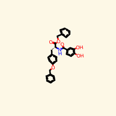 O=C(N[C@H](Cc1ccc(OCc2ccccc2)cc1)C(=O)OCc1ccccc1)c1ccc(O)c(O)c1